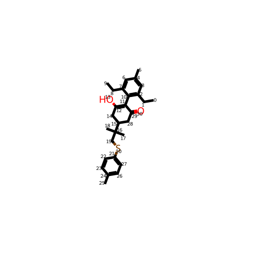 CCc1cc(C)cc(CC)c1C1=C(O)CC(C(C)(C)CSc2ccc(C)cc2)CC1=O